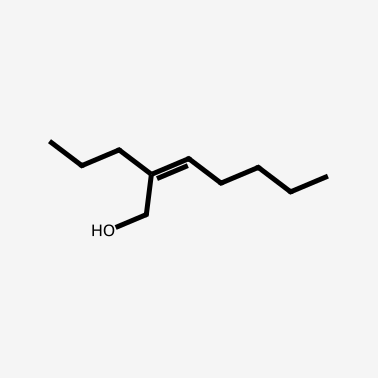 CCCCC=C(CO)CCC